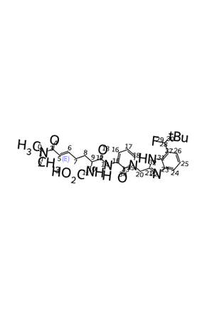 CN(C)C(=O)/C=C/CCC(NC(=O)O)C(=O)Nc1cccn(Cc2nc3cccc(C(F)C(C)(C)C)c3[nH]2)c1=O